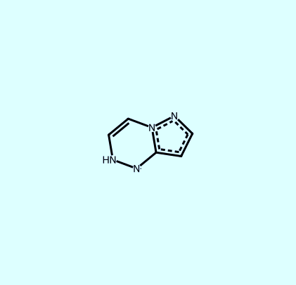 C1=Cn2nccc2[N]N1